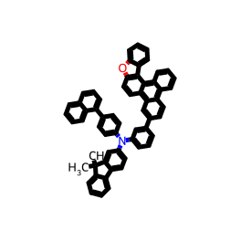 CC1(C)c2ccccc2-c2ccc(N(c3ccc(-c4cccc5ccccc45)cc3)c3cccc(-c4ccc5c6ccccc6c6c(ccc7oc8ccccc8c76)c5c4)c3)cc21